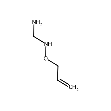 C=CCONCN